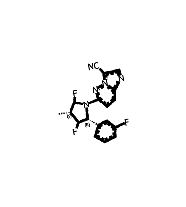 C[C@H]1C(F)[C@@H](c2cccc(F)c2)N(c2ccc3ncc(C#N)n3n2)C1F